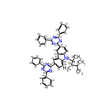 CC([C@H](C)[C@H](C)n1c2ccc(-c3nc(-c4ccccc4)nc(-c4ccccc4)n3)cc2c2cc(-c3nc(-c4ccccc4)nc(-c4ccccc4)n3)ccc21)C(F)(F)F